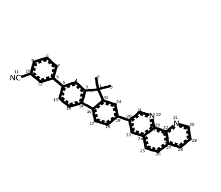 CC1(C)c2cc(-c3cccc(C#N)c3)ccc2-c2ccc(-c3cnc4c(ccc5cccnc54)c3)cc21